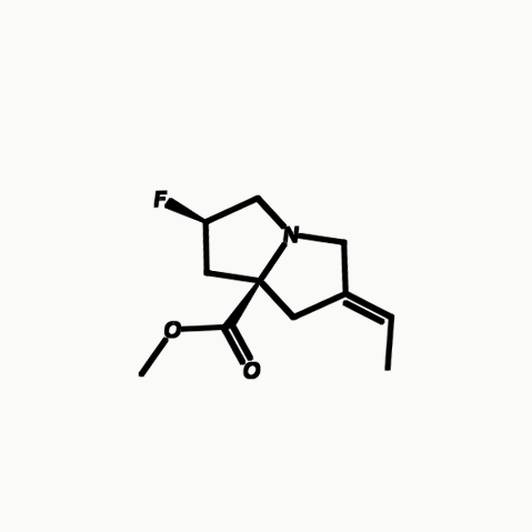 C/C=C1/CN2C[C@H](F)C[C@@]2(C(=O)OC)C1